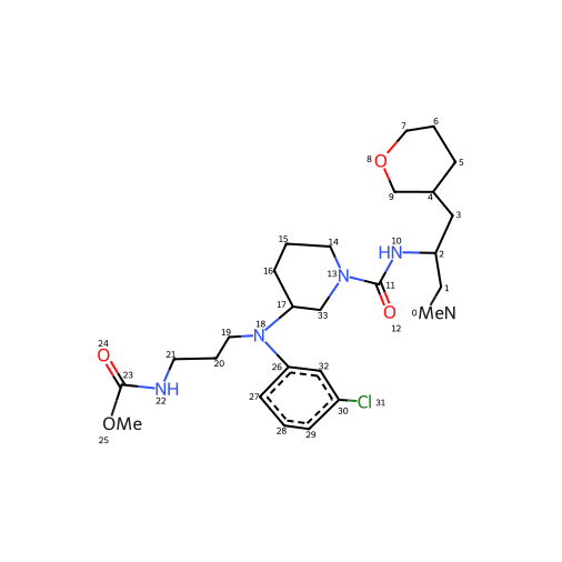 CNCC(CC1CCCOC1)NC(=O)N1CCCC(N(CCCNC(=O)OC)c2cccc(Cl)c2)C1